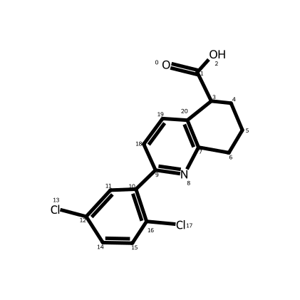 O=C(O)C1CCCc2nc(-c3cc(Cl)ccc3Cl)ccc21